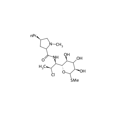 CCC[C@@H]1CC(C(=O)N[C@@H]([C@H]2OC(SC)[C@H](O)C(O)[C@@H]2O)[C@H](C)Cl)N(C)C1